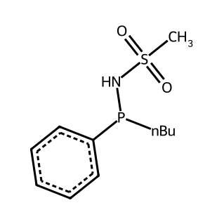 CCCCP(NS(C)(=O)=O)c1ccccc1